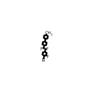 Cc1ccc(-c2ccc(/C(F)=C(\F)c3ccc(C#N)c(F)c3)cc2)cc1